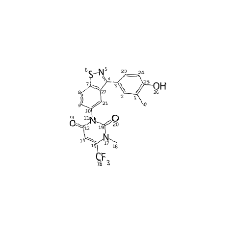 Cc1cc(-c2nsc3ccc(-n4c(=O)cc(C(F)(F)F)n(C)c4=O)cc23)ccc1O